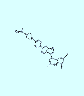 CC(=O)N1CCN(c2ccc(-c3ccn4c(-c5cc(C)nc6c(F)cc(F)cc56)cnc4c3)cc2)CC1